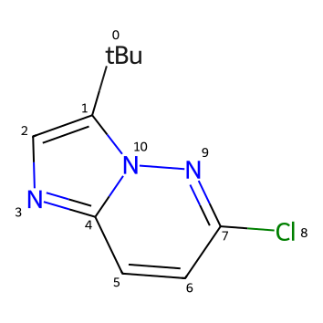 CC(C)(C)c1cnc2ccc(Cl)nn12